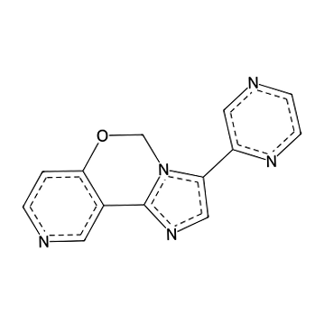 c1cnc(-c2cnc3n2COc2ccncc2-3)cn1